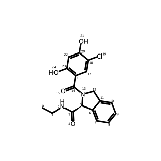 CCNC(=O)[C@@H]1c2ccccc2CN1C(=O)c1cc(Cl)c(O)cc1O